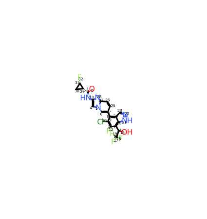 O=C(Nc1cn2cc(-c3c(Cl)c(F)c(C(O)C(F)(F)F)c4[nH]ncc34)ccc2n1)[C@@H]1C[C@@H]1F